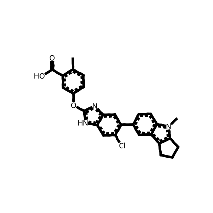 Cc1ccc(Oc2nc3cc(-c4ccc5c(c4)c4c(n5C)CCC4)c(Cl)cc3[nH]2)cc1C(=O)O